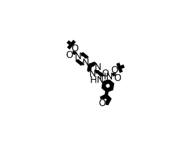 CC(C)(C)OC(=O)Nc1ccc(-c2ccoc2)cc1NC(=O)c1ncc(N2CCN(C(=O)OC(C)(C)C)CC2)cn1